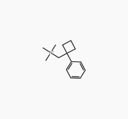 C[N+](C)(C)CC1(c2ccccc2)CCC1